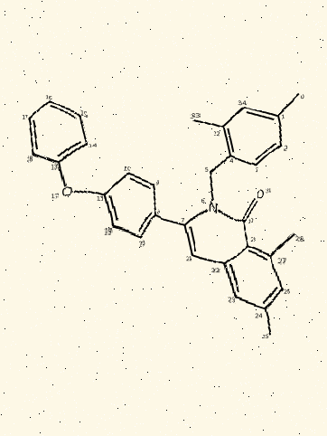 Cc1ccc(Cn2c(-c3ccc(Oc4ccccc4)cc3)cc3cc(C)cc(C)c3c2=O)c(C)c1